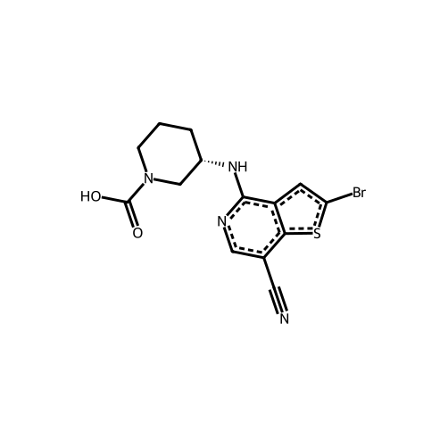 N#Cc1cnc(N[C@H]2CCCN(C(=O)O)C2)c2cc(Br)sc12